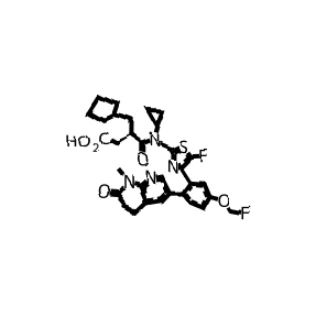 CN1C(=O)CCc2cc(-c3ccc(OCF)cc3-c3nc(N(C(=O)[C@@H](CC(=O)O)CC4CCCC4)C4CC4)sc3F)cnc21